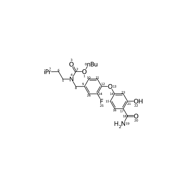 CCCCOC(=O)N(CCC(C)C)Cc1ccc(Oc2ccc(C(N)=O)c(O)c2)c(F)c1